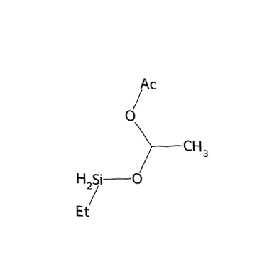 CC[SiH2]OC(C)OC(C)=O